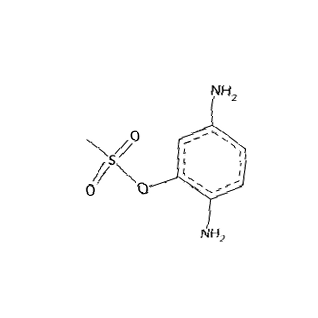 CS(=O)(=O)Oc1cc(N)ccc1N